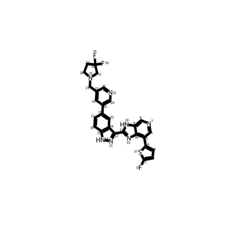 Fc1ccc(-c2cncc3[nH]c(-c4n[nH]c5ccc(-c6cncc(CN7CCC(F)(F)C7)c6)cc45)nc23)s1